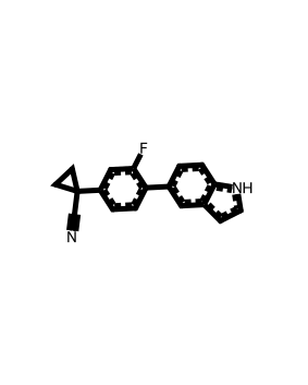 N#CC1(c2ccc(-c3ccc4[nH]ccc4c3)c(F)c2)CC1